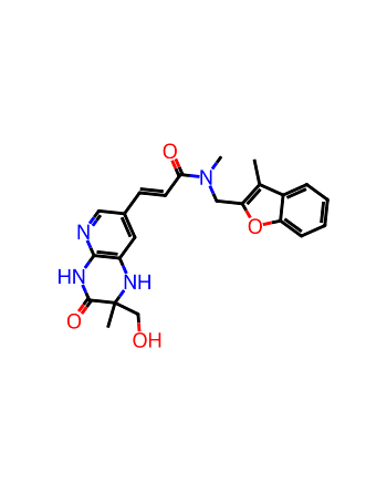 Cc1c(CN(C)C(=O)C=Cc2cnc3c(c2)NC(C)(CO)C(=O)N3)oc2ccccc12